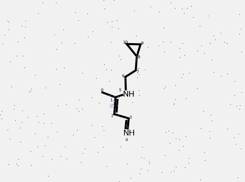 C/C(=C/C=N)NCCC1CC1